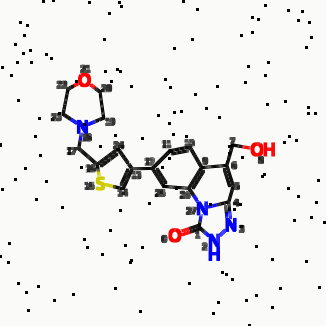 O=c1[nH]nc2cc(CO)c3ccc(-c4csc(CN5CCOCC5)c4)cc3n12